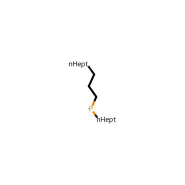 CCCCCCCCCC[P]CCCCCCC